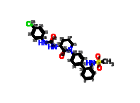 CS(=O)(=O)Nc1ccccc1-c1ccc(N2CCC[C@@H](NC(=O)Nc3ccc(Cl)cc3)C2=O)cc1